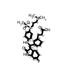 CN(C)CCCN(c1ccc(N/C(=C2\C(=O)Nc3cc(F)ccc32)c2cccc(CCC(=O)O)c2)cc1)S(C)(=O)=O